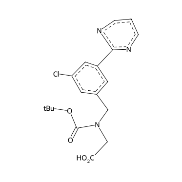 CC(C)(C)OC(=O)N(CC(=O)O)Cc1cc(Cl)cc(-c2ncccn2)c1